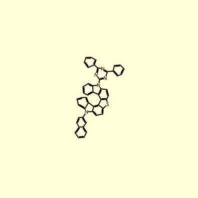 c1ccc(-c2nc(-c3ccccc3)nc(-n3c4ccccc4c4c5c(ccc43)sc3ccc4c(c6ccccc6n4-c4ccc6ccccc6c4)c35)n2)cc1